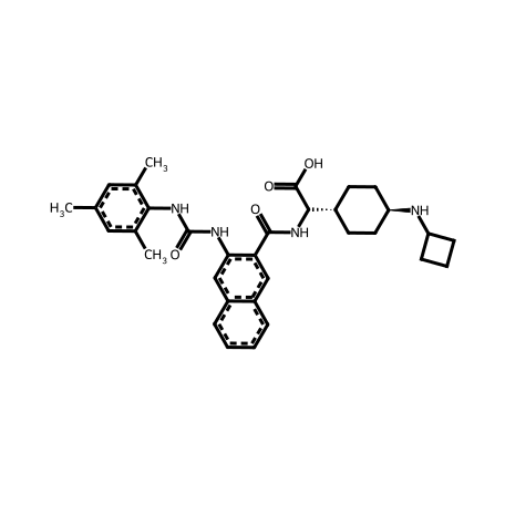 Cc1cc(C)c(NC(=O)Nc2cc3ccccc3cc2C(=O)NC(C(=O)O)[C@H]2CC[C@H](NC3CCC3)CC2)c(C)c1